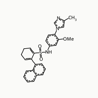 COc1cc(NS(=O)(=O)C2=CCCC=C2c2cccc3ccccc23)ccc1-n1cnc(C)c1